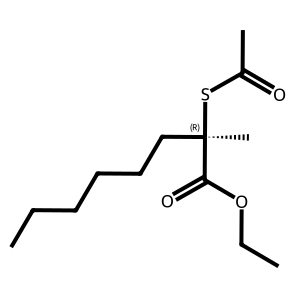 CCCCCC[C@@](C)(SC(C)=O)C(=O)OCC